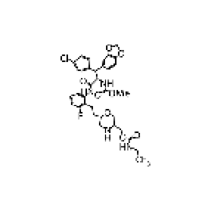 COC(=O)N[C@H](C(=O)Nc1cccc(F)c1CC[C@@H]1CN[C@H](COC(=O)NCC(F)(F)F)CO1)[C@@H](c1ccc(Cl)cc1)c1ccc2c(c1)OCO2